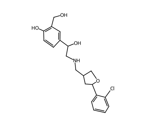 OCc1cc(C(O)CNCC2COC(c3ccccc3Cl)C2)ccc1O